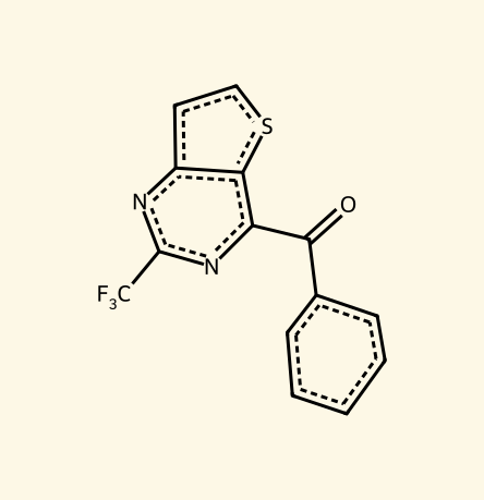 O=C(c1ccccc1)c1nc(C(F)(F)F)nc2ccsc12